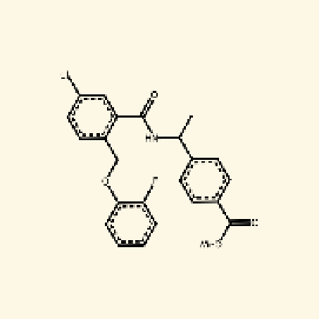 COC(=O)c1ccc(C(C)NC(=O)c2cc(Cl)ccc2COc2ccccc2F)cc1